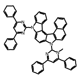 CN1C(c2ccccc2)=CC(c2ccccc2)=NC1n1c2ccc3ccccc3c2c2c3c4ccccc4n(-c4nc(C5=CCCC=C5)cc(-c5ccccc5)n4)c3ccc21